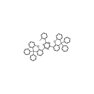 Cc1ccccc1-c1nc(-c2cccc3c2Oc2ccccc2C3(c2ccccc2)c2ccccc2)nc(-c2cccc3c2Oc2ccccc2C3(c2ccccc2)c2ccccc2)n1